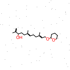 C=C(C)C(O)CC/C(C)=C/CC/C(C)=C/COC1CCCCO1